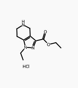 CCOC(=O)c1nn(CC)c2c1CNCC2.Cl